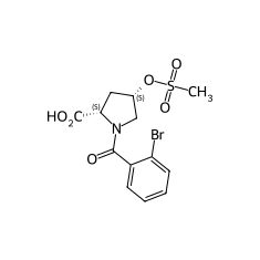 CS(=O)(=O)O[C@H]1C[C@@H](C(=O)O)N(C(=O)c2ccccc2Br)C1